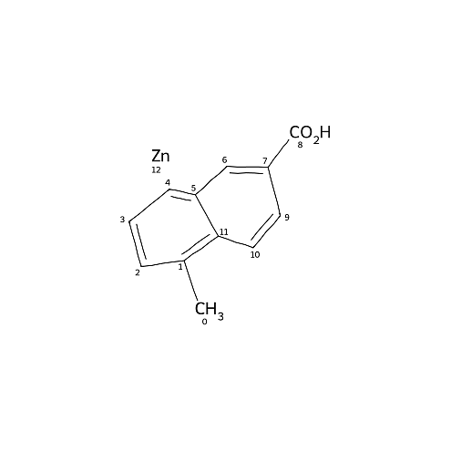 Cc1cccc2cc(C(=O)O)ccc12.[Zn]